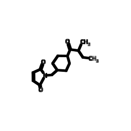 CCC(C)C(=O)C1CCC(CN2C(=O)C=CC2=O)CC1